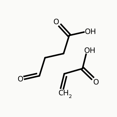 C=CC(=O)O.O=CCCC(=O)O